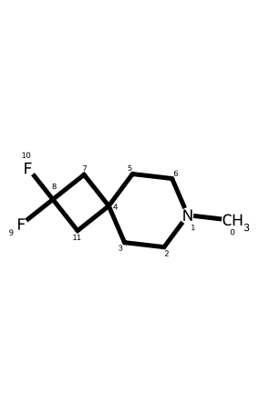 CN1CCC2(CC1)CC(F)(F)C2